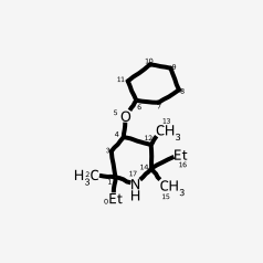 CCC1(C)CC(OC2CCCCC2)C(C)C(C)(CC)N1